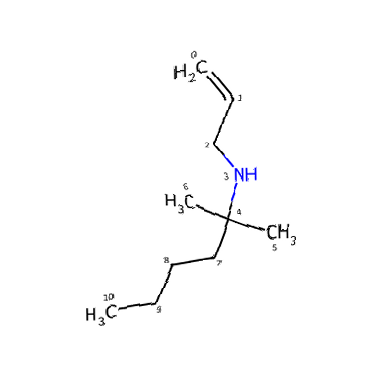 C=CCNC(C)(C)CCCC